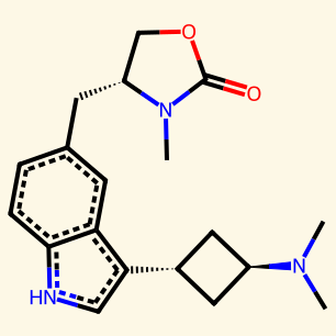 CN1C(=O)OC[C@H]1Cc1ccc2[nH]cc([C@H]3C[C@H](N(C)C)C3)c2c1